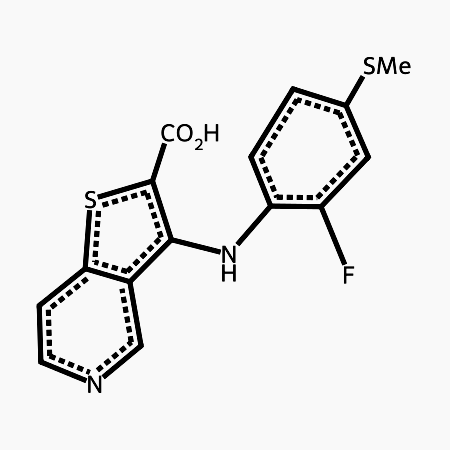 CSc1ccc(Nc2c(C(=O)O)sc3ccncc23)c(F)c1